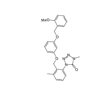 COc1ccccc1COc1cccc(OCc2c(C)cccc2-n2nnn(C)c2=O)c1